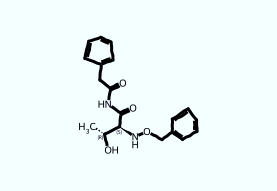 C[C@@H](O)[C@H](NOCc1ccccc1)C(=O)NC(=O)Cc1ccccc1